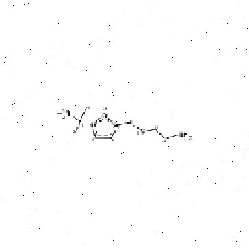 CC(C)(N)c1ccc(CSCCN)o1